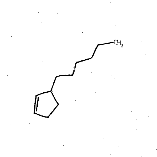 CCCCCC[C]1C=CCC1